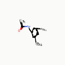 CCC(=O)NCc1cc(C(C)(C)C)cc(C(C)(C)C)c1